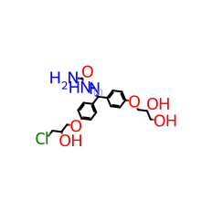 NC(=O)N/N=C(/c1ccc(OCC(O)CO)cc1)c1ccc(OCC(O)CCl)cc1